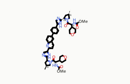 COC(=O)N[C@H](C(=O)N1C[C@@H](C)CC1c1ncc(-c2ccc3cc(-c4ccc(-c5cnc([C@@H]6C[C@H](C)CN6C(=O)[C@@H](NC(=O)OC)C6CCOCC6)[nH]5)cc4)ccc3n2)[nH]1)C1CCOCC1